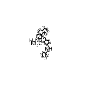 NC(=O)[C@H](CC(=O)O)N(Cc1ccc(CNCc2ccccn2)cc1)C1CCCc2cccnc21